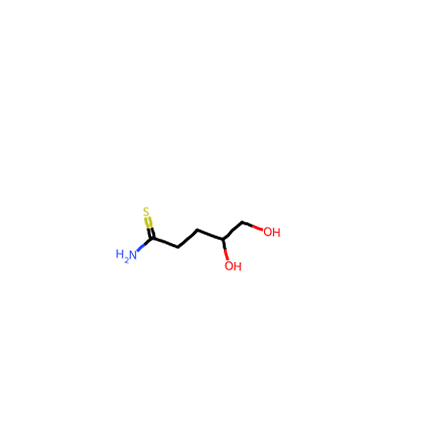 NC(=S)CCC(O)CO